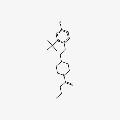 CCCC(=O)N1CCC(COc2ccc(F)cc2C(C)(C)C)CC1